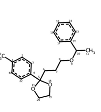 Cc1ccc(C2(CCCOC(C)c3ccccc3)OCCO2)cc1